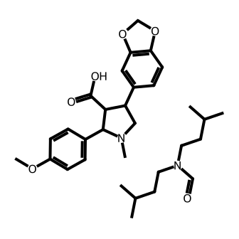 CC(C)CCN(C=O)CCC(C)C.COc1ccc(C2C(C(=O)O)C(c3ccc4c(c3)OCO4)CN2C)cc1